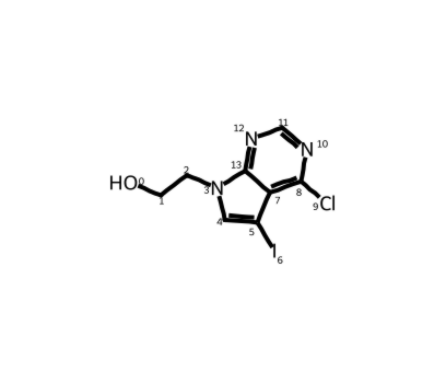 OCCn1cc(I)c2c(Cl)ncnc21